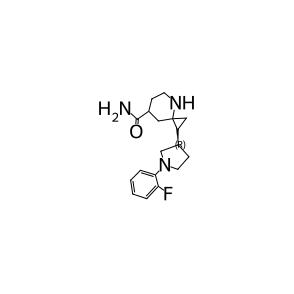 NC(=O)C1CCNC2(C1)CC2[C@H]1CCN(c2ccccc2F)C1